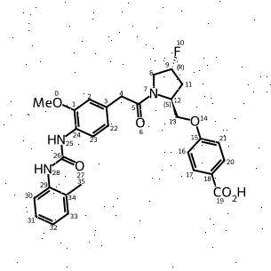 COc1cc(CC(=O)N2C[C@H](F)C[C@H]2COc2ccc(C(=O)O)cc2)ccc1NC(=O)Nc1ccccc1C